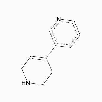 C1=C(c2cccnc2)CCNC1